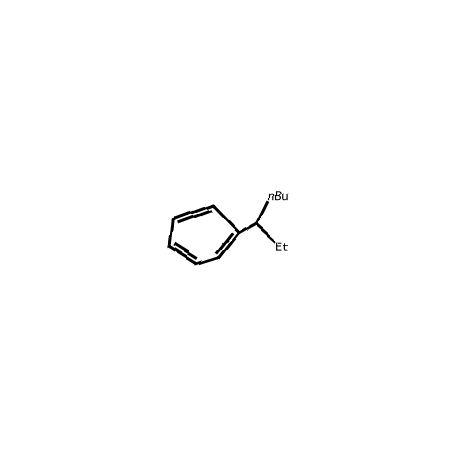 [CH2]CC(CCCC)c1ccccc1